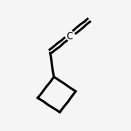 C=C=CC1CCC1